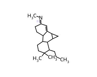 CCCC1C2C(CCC1(C)C)C1CC/C(=N\C)C=C1C1CC12